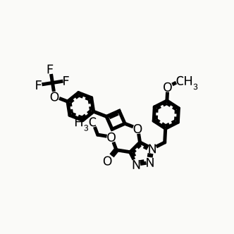 CCOC(=O)c1nnn(Cc2ccc(OC)cc2)c1OC1C=C(c2ccc(OC(F)(F)F)cc2)C1